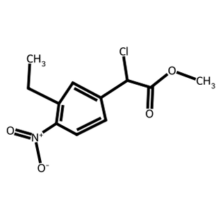 CCc1cc(C(Cl)C(=O)OC)ccc1[N+](=O)[O-]